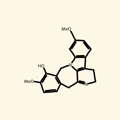 COc1ccc2c3c4n(c2c1)Cc1c(ccc(OC)c1O)CC4=NCC3